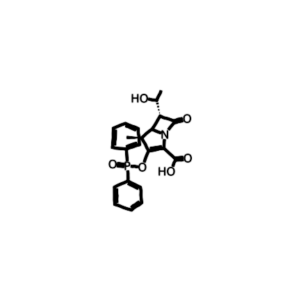 CC(O)[C@@H]1C(=O)N2C(C(=O)O)=C(OP(=O)(c3ccccc3)c3ccccc3)[C@@H](C)C12